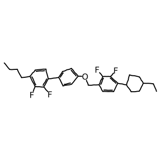 CCCCc1ccc(-c2ccc(OCc3ccc(C4CCC(CC)CC4)c(F)c3F)cc2)c(F)c1F